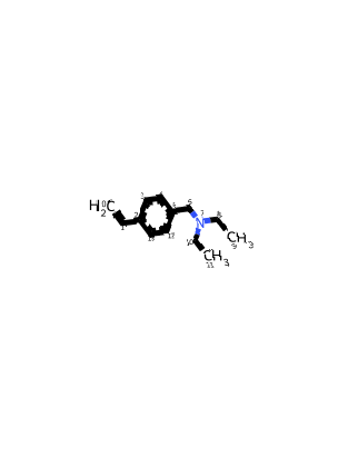 C=Cc1ccc(CN(CC)CC)cc1